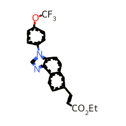 CCOC(=O)/C=C/c1ccc2c(ccc3c2ncn3-c2ccc(OC(F)(F)F)cc2)c1